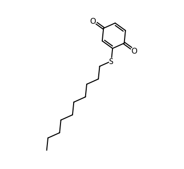 CCCCCCCCCCSC1=CC(=O)C=CC1=O